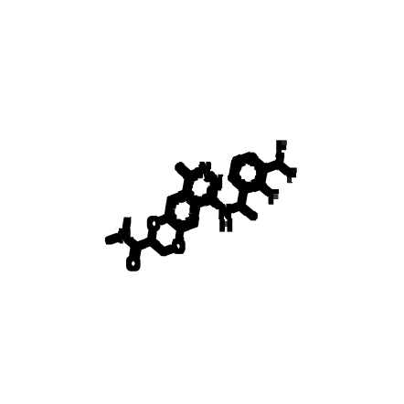 Cc1nnc(NC(C)c2cccc(C(F)F)c2F)c2cc3c(cc12)OC(C(=O)N(C)C)CO3